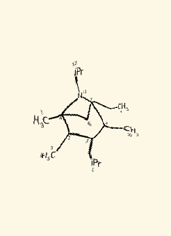 CC(C)C1C(C)C2(C)CC(C)(C1C)N2C(C)C